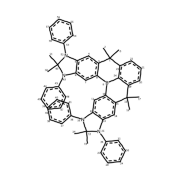 CC1(C)c2cc3c(cc2B2c4cc5c(cc4C(C)(C)c4cccc1c42)N(c1ccccc1)C(C)(C)N5c1ccccc1)N(c1ccccc1)C(C)(C)N3c1ccccc1